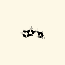 c1ncc2[nH]c(Nc3cc[nH]n3)nc2n1